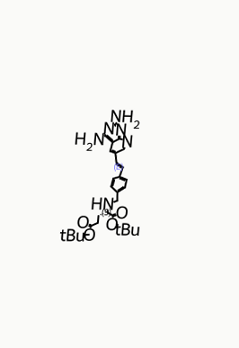 CC(C)(C)OC(=O)CC[C@H](NCc1ccc(/C=C/c2cnc3nc(N)nc(N)c3c2)cc1)C(=O)OC(C)(C)C